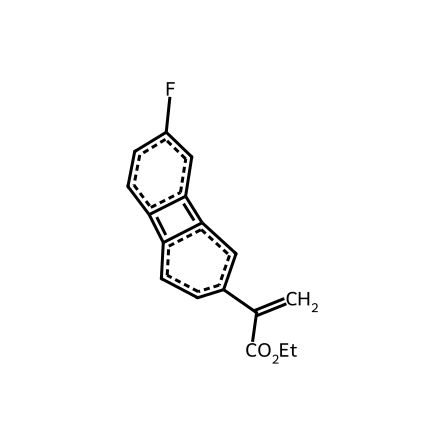 C=C(C(=O)OCC)c1ccc2c(c1)=c1cc(F)ccc1=2